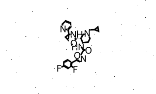 O=C(N[C@@H]1CCN(CC2CC2)C[C@H]1C(=O)NC1(c2ccccn2)CC1)c1ncc(-c2ccc(F)cc2F)o1